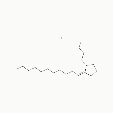 CCCCCCCCCCC=C1CCCN1CCCC.F